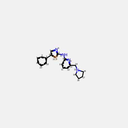 c1ccc(-c2cnc(Nc3cccc(CN4CCCC4)n3)s2)cc1